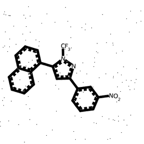 O=[N+]([O-])c1cccc(-c2cc(-c3cccc4ccccc34)n(C(F)(F)F)n2)c1